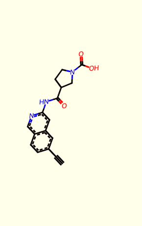 C#Cc1ccc2cnc(NC(=O)C3CCN(C(=O)O)C3)cc2c1